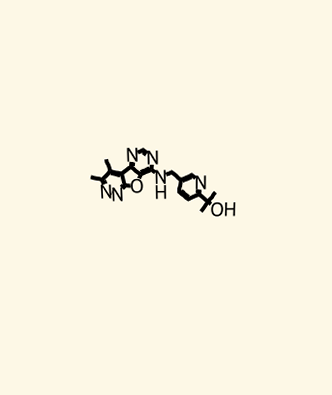 Cc1nnc2oc3c(NCc4ccc(C(C)(C)O)nc4)ncnc3c2c1C